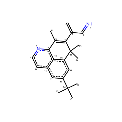 C=C(C=N)C1=C(C)c2nccc3cc(C(C)(C)C)cc(c23)C1(C)C